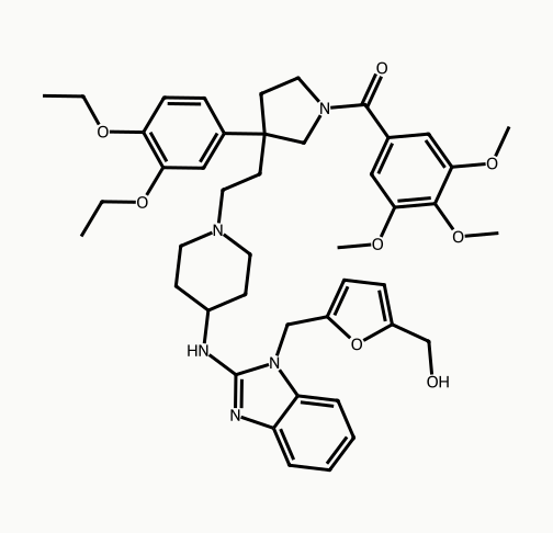 CCOc1ccc(C2(CCN3CCC(Nc4nc5ccccc5n4Cc4ccc(CO)o4)CC3)CCN(C(=O)c3cc(OC)c(OC)c(OC)c3)C2)cc1OCC